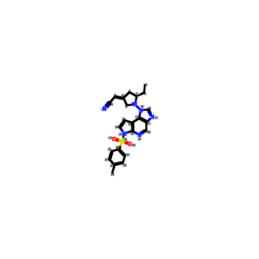 CC[C@@H]1C/C(=C/C#N)CN1n1cnc2cnc3c(ccn3S(=O)(=O)c3ccc(C)cc3)c21